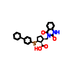 O=C(O)[C@H]1[C@H](Cn2c(=O)[nH]c3ccccc3c2=O)CC[C@@H]1Sc1ccc(-c2ccccc2)cc1